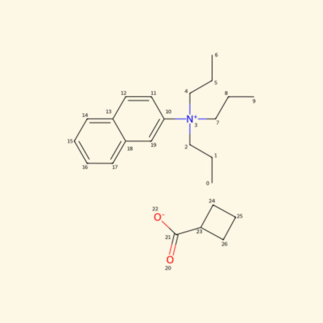 CCC[N+](CCC)(CCC)c1ccc2ccccc2c1.O=C([O-])C1CCC1